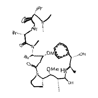 CC[C@H](C)[C@@H]([C@@H](CC(=O)N1CCC[C@H]1[C@H](OC)[C@@H](C)C(O)N[C@H](C)[C@@H](O)c1ccccc1)OC)N(C)C(=O)[C@@H](NC(=O)[C@H](C(C)C)N(C)I)C(C)C